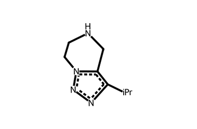 CC(C)c1nnn2c1CNCC2